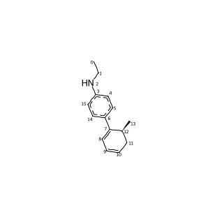 CCNc1ccc(C2=CC=CC[C@@H]2C)cc1